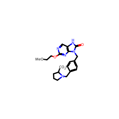 COCCOc1ncc2[nH]c(=O)n(Cc3ccc(CN4CCCC4C(=O)O)cc3)c2n1